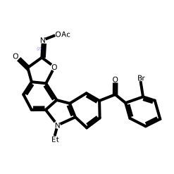 CCn1c2ccc(C(=O)c3ccccc3Br)cc2c2c3c(ccc21)C(=O)/C(=N/OC(C)=O)O3